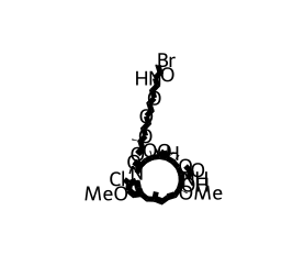 COc1cc2cc(c1Cl)N(C)C(=O)C[C@H](OC(=O)[C@H](C)OCCOCCOCCNC(=O)CBr)[C@]1(C)O[C@H]1[C@H](C)C1C[C@@](O)(NC(=O)O1)[C@H](OC)/C=C/C=C(\C)C2